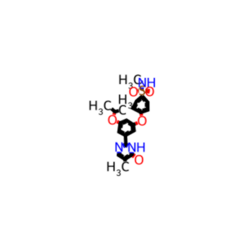 CNS(=O)(=O)c1ccc(Oc2cc(OC(C)C)cc(-c3ncc(C)c(=O)[nH]3)c2)cc1